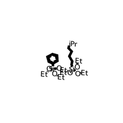 CCO[Si](CCCCCC(C)C)(OCC)OCC.CCO[Si](OCC)(OCC)c1ccccc1